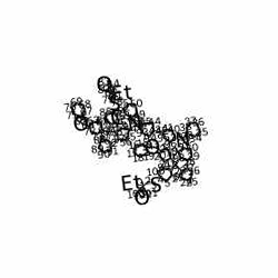 CCC1(CSc2ccc(C3(c4ccc(Oc5ccccc5)cc4)c4ccccc4-c4ccc(N(c5ccccc5)c5ccc(-c6ccc(N(c7ccccc7)c7ccc8c(c7)C(c7ccc(Oc9ccccc9)cc7)(c7ccc(SCC9(CC)COC9)cc7)c7ccccc7-8)cc6)cc5)cc43)cc2)COC1